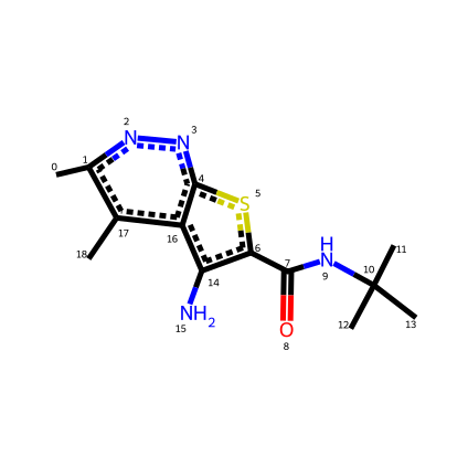 Cc1nnc2sc(C(=O)NC(C)(C)C)c(N)c2c1C